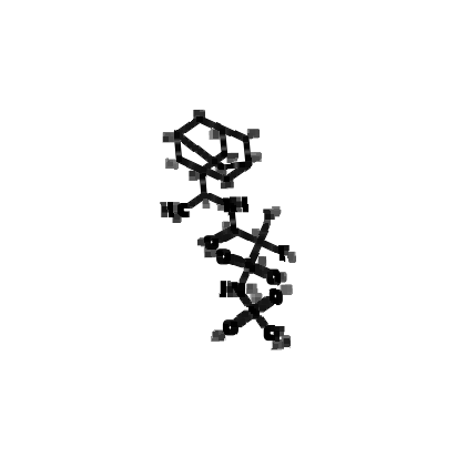 CC(NC(=O)C(F)(F)S(=O)(=O)NS(=O)(=O)C(F)(F)F)C12CC3CC(CC(C3)C1)C2